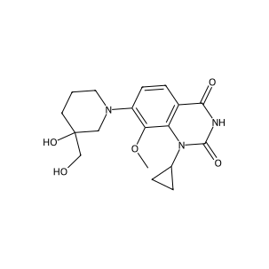 COc1c(N2CCCC(O)(CO)C2)ccc2c(=O)[nH]c(=O)n(C3CC3)c12